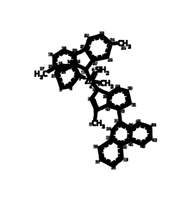 CC1=C[CH]([Zr]([CH3])(=[SiH2])([c]2ccccc2)[CH]2c3cc(C)ccc3-c3ccc(C)cc32)c2cccc(-c3cc4ccccc4c4ccccc34)c21